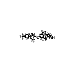 CC1CC(O)(c2ccc(C(F)(F)F)cc2)CC(COc2cc(C(F)(F)F)c3c(cnn3C3CC(C)(O)C3)c2)N1